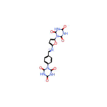 O=c1[nH]c(=O)n(-c2ccc(/C=N/c3ccc(-n4c(=O)[nH]c(=O)[nH]c4=O)o3)cc2)c(=O)[nH]1